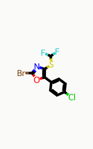 FC(F)Sc1nc(Br)oc1-c1ccc(Cl)cc1